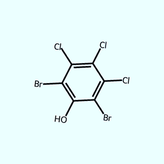 Oc1c(Br)c(Cl)c(Cl)c(Cl)c1Br